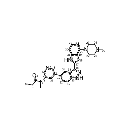 CCC(=O)Nc1cncc(-c2ccc3[nH]nc(-c4cc5c(N6CCN(C)CC6)nccc5[nH]4)c3c2)c1